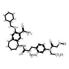 CCOCC(=O)N(CC(=O)OCC)c1ccc(C[C@H](NC(C)=O)C(=O)N[C@H]2CCCCc3cc(OCC4CCCCC4)c(C(N)=O)cc32)cc1